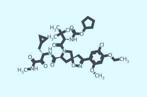 CCOc1cc(OC)c(C2=NO[C@]3(C2)C[C@@H](C(=O)N[C@@H](CC2CC2)C(=O)C(=O)NC)N(C(=O)[C@@H](NC(=O)OC2CCCC2)C(C)(C)C)C3)cc1Cl